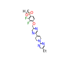 CCc1cnc(N2CC=C(c3cnc(COc4ccc(S(C)(=O)=O)c(F)c4F)cn3)CC2)nc1